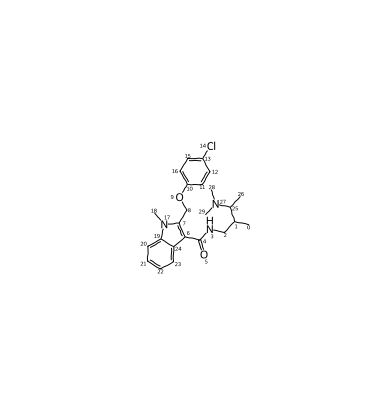 CC(CNC(=O)c1c(COc2ccc(Cl)cc2)n(C)c2ccccc12)C(C)N(C)C